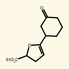 CCOC(=O)C1CC=C(C2CCCC(=O)C2)O1